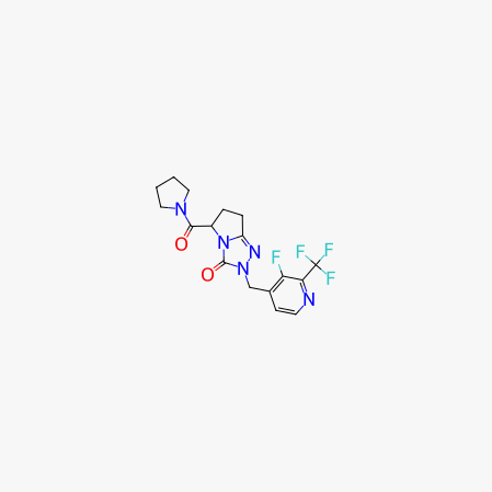 O=C(C1CCc2nn(Cc3ccnc(C(F)(F)F)c3F)c(=O)n21)N1CCCC1